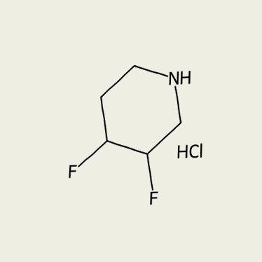 Cl.FC1CCNCC1F